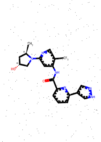 C[C@@H]1C[C@@H](O)CN1c1cc(NC(=O)c2cccc(-c3cn[nH]c3)n2)c(C(F)(F)F)cn1